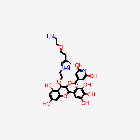 NCCOCCc1cn(CCOC2c3c(O)cc(O)cc3OC(c3cc(O)c(O)c(O)c3)C2OC(=O)c2cc(O)nc(O)c2)nn1